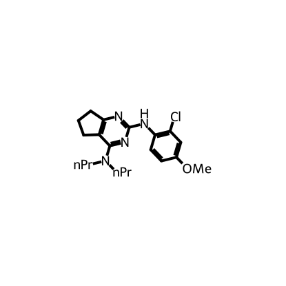 CCCN(CCC)c1nc(Nc2ccc(OC)cc2Cl)nc2c1CCC2